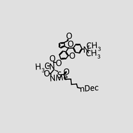 CCCCCCCCCCCCCCCC(=O)SC[C@@H](C(=O)NC)N(C)C(=O)Oc1ccc2c(c1)Oc1cc(N(C)C)ccc1C21OC(=O)c2ccccc21